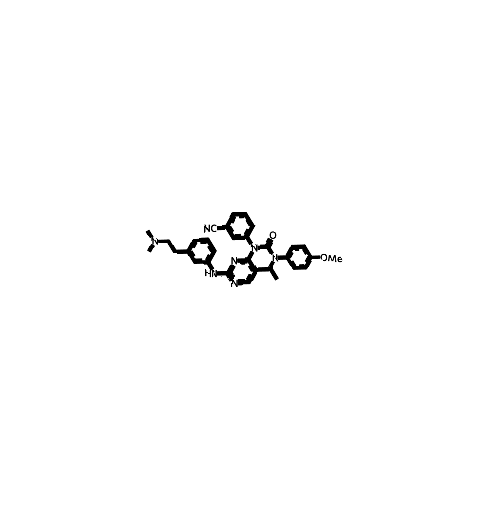 COc1ccc(N2C(=O)N(c3cccc(C#N)c3)c3nc(Nc4cccc(CCN(C)C)c4)ncc3C2C)cc1